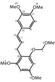 COCOc1cc(OC)cc(OC)c1C/C=C/c1ccc(OC)c(OC)c1